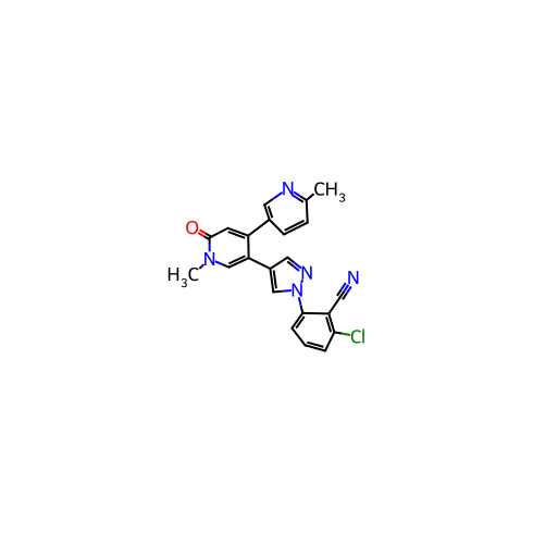 Cc1ccc(-c2cc(=O)n(C)cc2-c2cnn(-c3cccc(Cl)c3C#N)c2)cn1